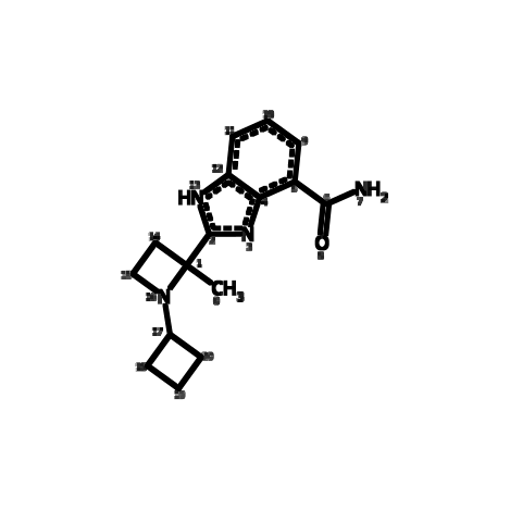 CC1(c2nc3c(C(N)=O)cccc3[nH]2)CCN1C1CCC1